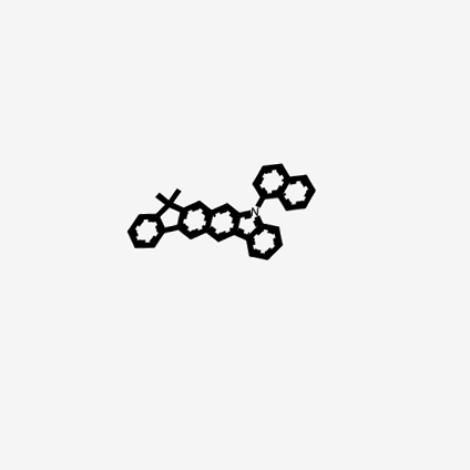 CC1(C)c2ccccc2-c2cc3cc4c5ccccc5n(-c5cccc6ccccc56)c4cc3cc21